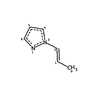 CC=Cn1cccn1